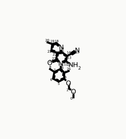 COCOc1ccc(C)c(-n2c(N)c(C#N)c3ncc(C)cc3c2=O)c1C